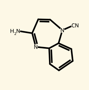 N#CN1C=CC(N)=Nc2ccccc21